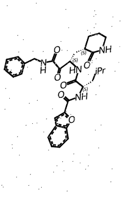 CC(C)C[C@H](NC(=O)c1cc2ccccc2o1)C(=O)N[C@@H](C[C@@H]1CCCNC1=O)C(=O)C(=O)NCc1ccccc1